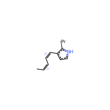 C/C=C\C=C/c1cc[nH]c1C(C)C